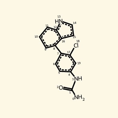 NC(=O)Nc1ccc(-c2cccc3[nH]ccc23)c(Cl)c1